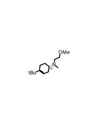 COCCN(C)[C@@H]1CC=C(C(C)(C)C)CC1